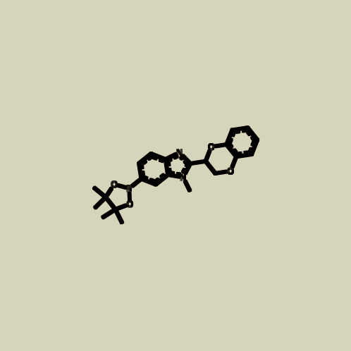 Cn1c(C2COc3ccccc3O2)nc2ccc(B3OC(C)(C)C(C)(C)O3)cc21